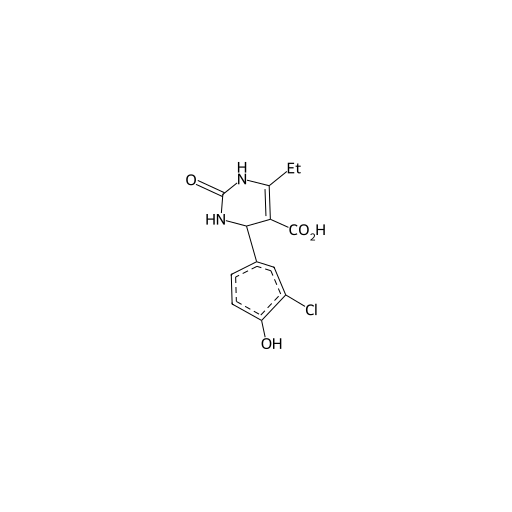 CCC1=C(C(=O)O)C(c2ccc(O)c(Cl)c2)NC(=O)N1